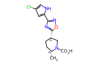 C[C@@H]1CC[C@H](c2nc(-c3cc(Cl)c[nH]3)no2)CN1C(=O)O